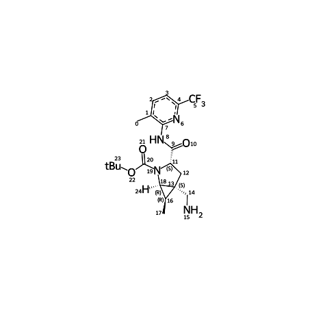 Cc1ccc(C(F)(F)F)nc1NC(=O)[C@@H]1C[C@@]2(CN)[C@@H](C)[C@H]2N1C(=O)OC(C)(C)C